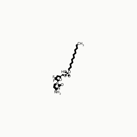 CCCCCCCCCCCCOP(=O)(O)OC[C@@H]1CC(F)(F)[C@H](n2ccc(N)nc2=O)O1